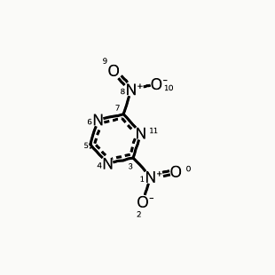 O=[N+]([O-])c1n[c]nc([N+](=O)[O-])n1